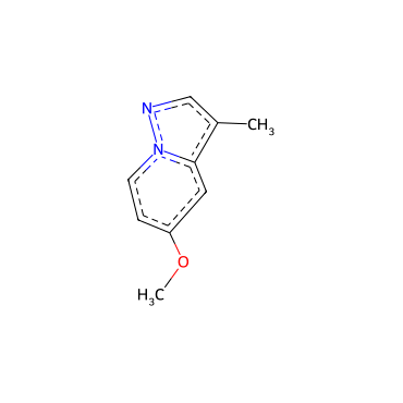 COc1ccn2ncc(C)c2c1